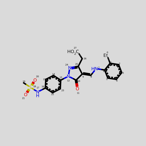 CCc1ccccc1NC=C1C(=O)N(c2ccc(NS(C)(=O)=O)cc2)N=C1CC(=O)O